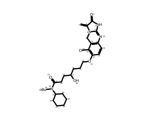 C=c1c(=O)[nH]c2n1Cc1c(ccc(OCCCC(O)CCC(=O)N(CCCC)C3CCCCC3)c1Cl)N=2